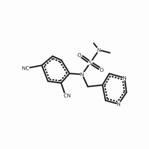 CN(C)S(=O)(=O)N(Cc1cncnc1)c1ccc(C#N)cc1C#N